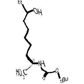 CCC(O)CCCCC[C@H](NC(=O)OC(C)(C)C)C(=O)O